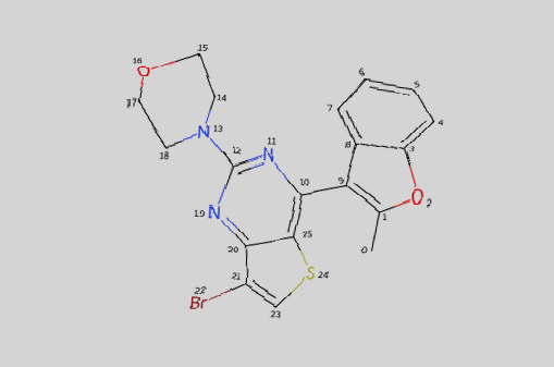 Cc1oc2ccccc2c1-c1nc(N2CCOCC2)nc2c(Br)csc12